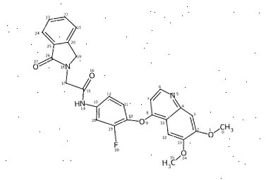 COc1cc2nccc(Oc3ccc(NC(=O)CN4Cc5ccccc5C4=O)cc3F)c2cc1OC